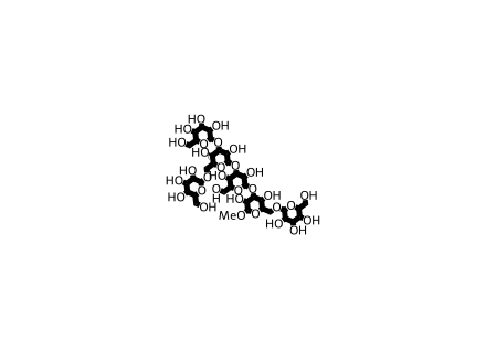 COC1OC(COC2OC(CO)C(O)C(O)C2O)C(O)C(OC2OC(CO)C(O)C(OC3OC(COC4OC(CO)C(O)C(O)C4O)[C@@H](O)C(OC4OC(CO)C(O)C(O)C4O)C3O)C2O)C1O